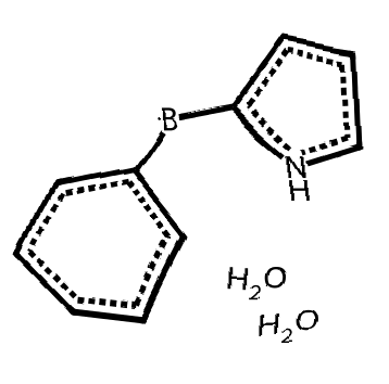 O.O.[B](c1ccccc1)c1ccc[nH]1